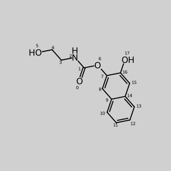 O=C(NCCO)Oc1cc2ccccc2cc1O